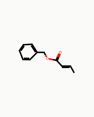 CC=CC(=O)OCc1[c]cccc1